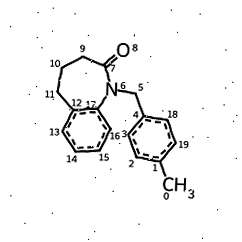 Cc1ccc(CN2C(=O)CCCc3ccccc32)cc1